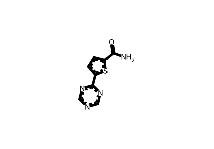 NC(=O)c1ccc(-c2ncncn2)s1